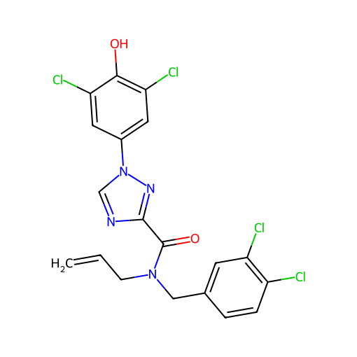 C=CCN(Cc1ccc(Cl)c(Cl)c1)C(=O)c1ncn(-c2cc(Cl)c(O)c(Cl)c2)n1